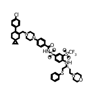 O=C(NS(=O)(=O)c1ccc(N[C@H](CCN2CCOCC2)CSc2ccccc2)c(S(=O)(=O)C(F)(F)F)c1)c1ccc(N2CCN(CC3=C(c4ccc(Cl)cc4)CCC4(CC4)C3)CC2)cc1